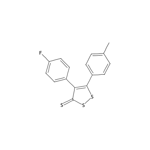 Cc1ccc(-c2ssc(=S)c2-c2ccc(F)cc2)cc1